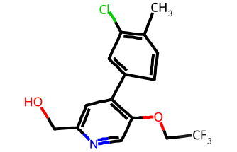 Cc1ccc(-c2cc(CO)ncc2OCC(F)(F)F)cc1Cl